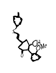 COc1ccccc1C1=C(O)CC(CCSc2ccc(C)cc2)CC1=O